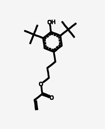 C=CC(=O)OCCCc1cc(C(C)(C)C)c(O)c(C(C)(C)C)c1